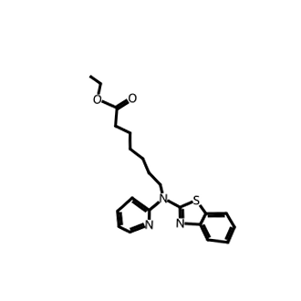 CCOC(=O)CCCCCCN(c1ccccn1)c1nc2ccccc2s1